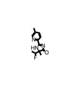 Cc1ccc(C2=NC(=O)C(C)(C(C)F)N2)nc1